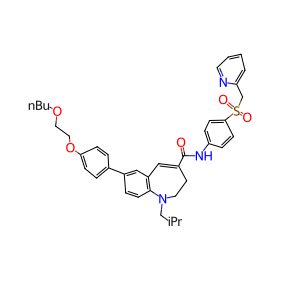 CCCCOCCOc1ccc(-c2ccc3c(c2)C=C(C(=O)Nc2ccc(S(=O)(=O)Cc4ccccn4)cc2)CCN3CC(C)C)cc1